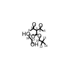 CC(=O)C(C(C)=O)C(=O)OCC(C)(C)C.OCCO